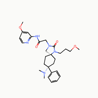 COCCCN1C(=O)N(CC(=O)Nc2cc(OC)ccn2)C[C@]12CC[C@@](c1ccccc1)(N(C)C)CC2